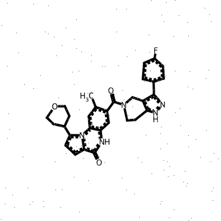 Cc1cc2c(cc1C(=O)N1CCc3[nH]nc(-c4ccc(F)cc4)c3C1)[nH]c(=O)c1ccc(C3CCOCC3)n12